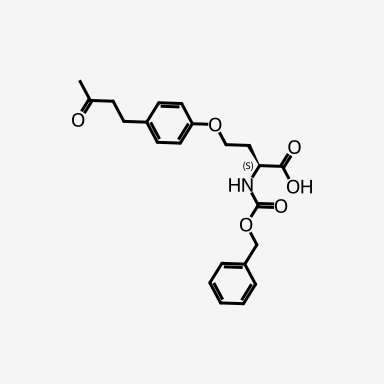 CC(=O)CCc1ccc(OCC[C@H](NC(=O)OCc2ccccc2)C(=O)O)cc1